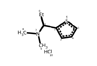 CCC(c1cccs1)N(C)C.Cl